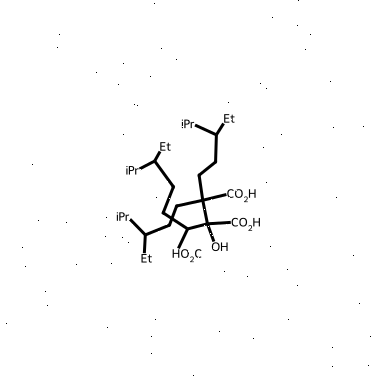 CCC(CCC(C(=O)O)C(O)(C(=O)O)C(CCC(CC)C(C)C)(CCC(CC)C(C)C)C(=O)O)C(C)C